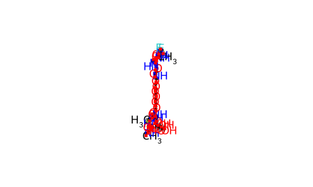 CCNCCN1C(=O)CC(SC[C@H](C)CNC(=O)[C@@H](CCC(=O)NC[C@H](O)[C@@H](O)[C@H](O)[C@H](O)CO)NC(=O)CCOCCOCCOCCOCCOCCOCCNC(=O)CCC(=O)NCc2cc(C(=O)N[C@H](C)C(=O)N3CC(F)(F)C[C@H]3C#N)ccn2)C1=O